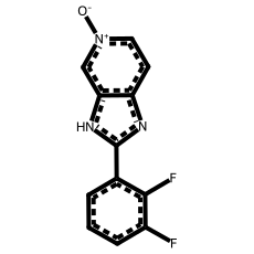 [O-][n+]1ccc2nc(-c3cccc(F)c3F)[nH]c2c1